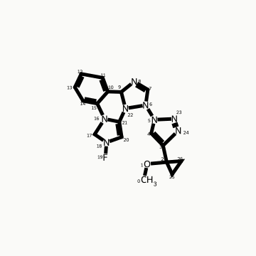 COC1(c2cn(N3C=NC4c5ccccc5N5CN(F)C=C5N43)nn2)CC1